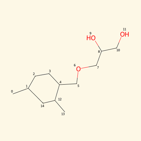 CC1CCC(COCC(O)CO)C(C)C1